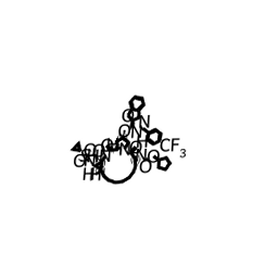 O=C(N[C@H]1CCCCCCC[C@@H]2C[C@@]2(C(=O)NS(=O)(=O)C2CC2)NC(=O)[C@@H]2C[C@@H](Oc3nc(-c4ccc(C(F)(F)F)cc4)nc4c3oc3ccccc34)CN2C1=O)OC1CCCC1